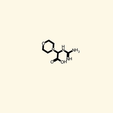 N=C(N)NC(C(=O)O)N1CCOCC1